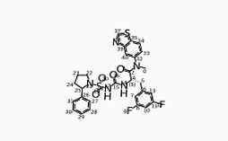 CN(C(=O)[C@H](Cc1cc(F)cc(F)c1)NC(=O)NS(=O)(=O)N1CCCC1c1ccccc1)c1ccc2scnc2c1